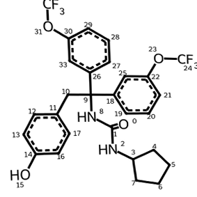 O=C(NC1CCCC1)NC(Cc1ccc(O)cc1)(c1cccc(OC(F)(F)F)c1)c1cccc(OC(F)(F)F)c1